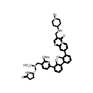 COc1nc(-c2cccc(-c3cccc(-c4ccn5c(=O)c(CNC6CCN(C(C)=O)CC6)cnc5c4)c3Cl)c2Cl)ccc1CN(C[C@@H]1CCC(=O)N1)C(=O)O